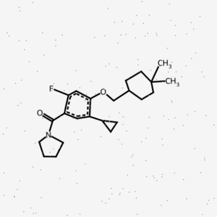 CC1(C)CCC(COc2cc(F)c(C(=O)N3CCCC3)cc2C2CC2)CC1